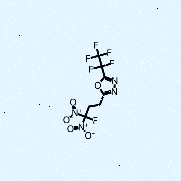 O=[N+]([O-])C(F)(CCc1nnc(C(F)(F)C(F)(F)F)o1)[N+](=O)[O-]